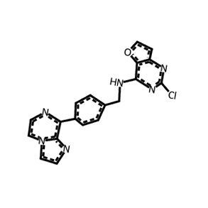 Clc1nc(NCc2ccc(-c3nccn4ccnc34)cc2)c2occc2n1